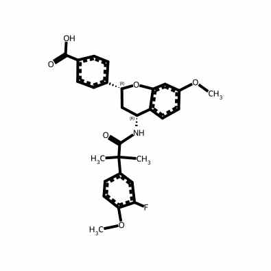 COc1ccc2c(c1)O[C@@H](c1ccc(C(=O)O)cc1)C[C@H]2NC(=O)C(C)(C)c1ccc(OC)c(F)c1